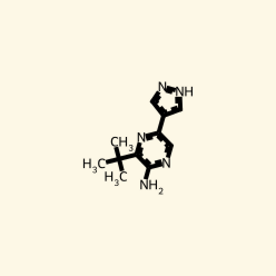 CC(C)(C)c1nc(-c2cn[nH]c2)cnc1N